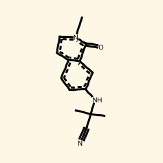 Cn1ccc2ccc(NC(C)(C)C#N)cc2c1=O